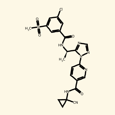 C[C@@H](NC(=O)c1cc(Cl)cc(S(C)(=O)=O)c1)c1ncnn1-c1ccc(C(=O)NC2(C#N)CC2)cn1